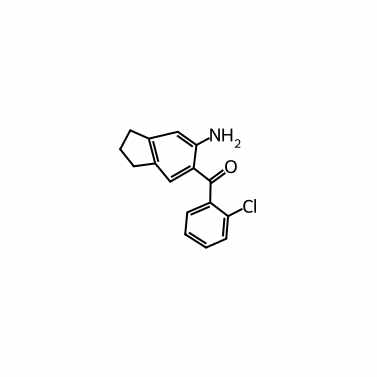 Nc1cc2c(cc1C(=O)c1ccccc1Cl)CCC2